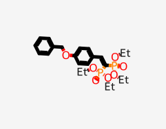 CCOP(=O)(OCC)C(=Cc1ccc(OCc2ccccc2)cc1)P(=O)(OCC)OCC